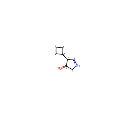 O=C1CN=C[C@@H]1C1CCC1